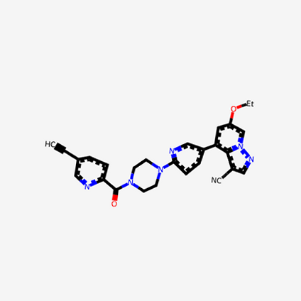 C#Cc1ccc(C(=O)N2CCN(c3ccc(-c4cc(OCC)cn5ncc(C#N)c45)cn3)CC2)nc1